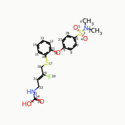 CN(C)S(=O)(=O)c1ccc(Oc2ccccc2SCC(F)=CCNC(=O)O)cc1